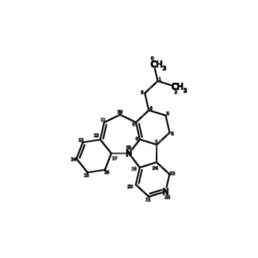 CC(C)CC1CCC2C3=C1CC=C1C=CCCC1N3C1=CC=NCC12